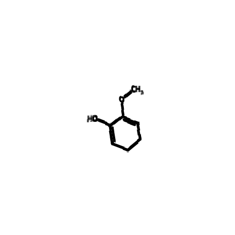 COC1=CC[CH]C=C1O